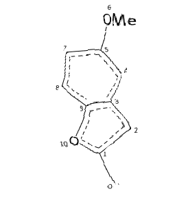 [CH2]c1cc2cc(OC)ccc2o1